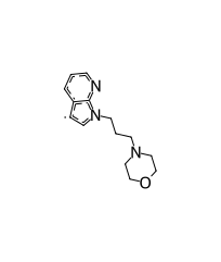 [c]1cn(CCCN2CCOCC2)c2ncccc12